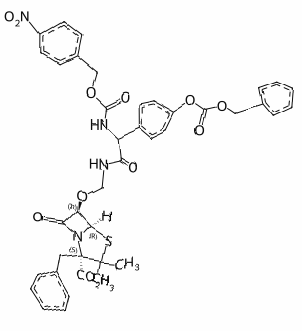 CC1(C)S[C@@H]2[C@H](OCNC(=O)C(NC(=O)OCc3ccc([N+](=O)[O-])cc3)c3ccc(OC(=O)OCc4ccccc4)cc3)C(=O)N2[C@@]1(Cc1ccccc1)C(=O)O